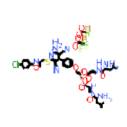 CC(C)C[C@H](N)C(=O)NCCC(=O)OC[C@H](COc1ccc(-c2c(C#N)c(N)nc(SCc3coc(-c4ccc(Cl)cc4)n3)c2C#N)cc1)OC(=O)CCNC(=O)[C@@H](N)CC(C)C.O=C(O)C(F)(F)F.O=C(O)C(F)(F)F